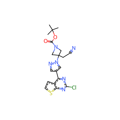 CC(C)(C)OC(=O)N1CC(CC#N)(n2cc(-c3nc(Cl)nc4sccc34)cn2)C1